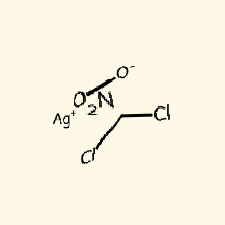 ClCCl.O=[N+]([O-])[O-].[Ag+]